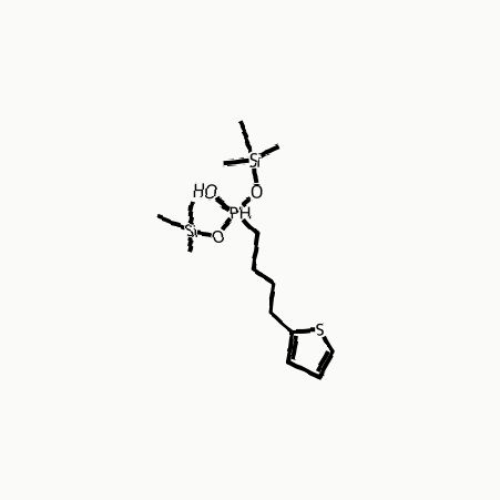 C[Si](C)(C)O[PH](O)(CCCCc1cccs1)O[Si](C)(C)C